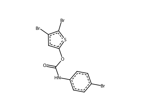 O=C(Nc1ccc(Br)cc1)Oc1cc(Br)c(Br)s1